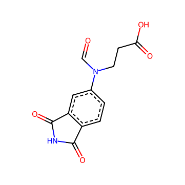 O=CN(CCC(=O)O)c1ccc2c(c1)C(=O)NC2=O